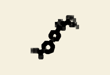 CC(C)c1nnc(C2CCN(C3CCCN(C(=O)O)CC3)CC2)o1